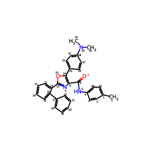 Cc1ccc(NC(=O)c2nc(-c3ccccc3-c3ccccc3)oc2-c2ccc(N(C)C)cc2)cc1